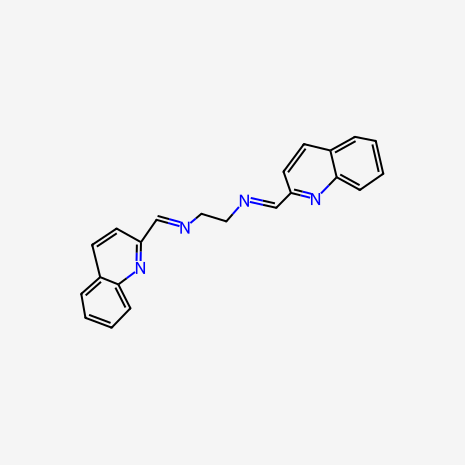 C(=NCCN=Cc1ccc2ccccc2n1)c1ccc2ccccc2n1